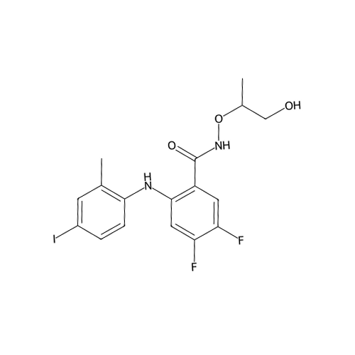 Cc1cc(I)ccc1Nc1cc(F)c(F)cc1C(=O)NOC(C)CO